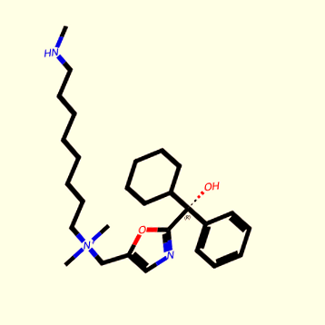 CNCCCCCCCC[N+](C)(C)Cc1cnc([C@](O)(c2ccccc2)C2CCCCC2)o1